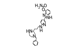 NC(=O)Oc1cccc2[nH]c(-c3ccc(NCCCC4CN(Cc5ccccc5)CCCN4)nc3)nc12